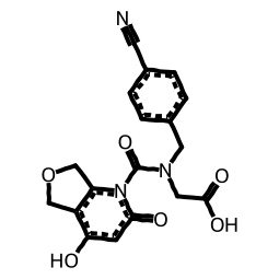 N#Cc1ccc(CN(CC(=O)O)C(=O)n2c3c(c(O)cc2=O)COC3)cc1